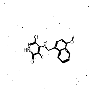 COc1ccc(CNc2c(Cl)n[nH]c(=O)c2Cl)c2ccccc12